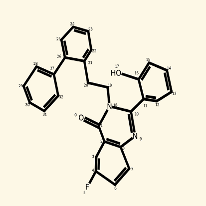 O=c1c2cc(F)ccc2nc(-c2ccccc2O)n1CCc1ccccc1-c1ccccc1